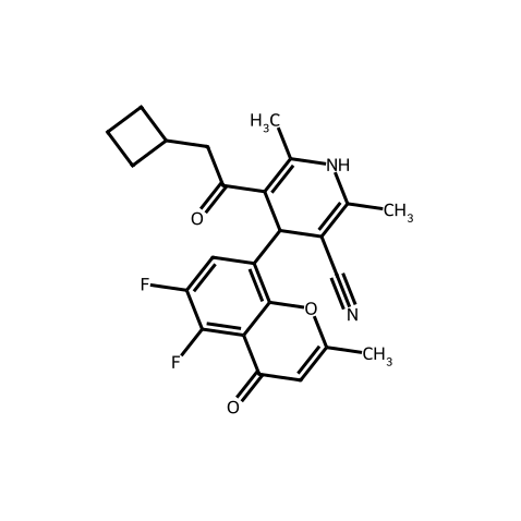 CC1=C(C#N)C(c2cc(F)c(F)c3c(=O)cc(C)oc23)C(C(=O)CC2CCC2)=C(C)N1